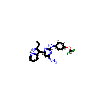 CCc1nn2ccccc2c1-c1cc(N)nc(Nc2ccc(OC(F)F)cc2)n1